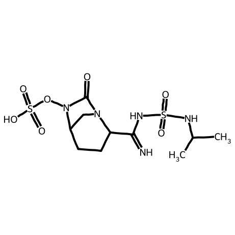 CC(C)NS(=O)(=O)NC(=N)C1CCC2CN1C(=O)N2OS(=O)(=O)O